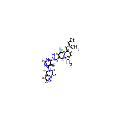 C\C=C/C(=C\C(C)=C\CC)c1ncc(CNc2ncnc(N3CCn4nccc4C3)c2F)cc1F